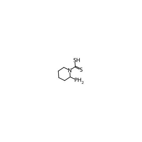 PC1CCCCN1C(=S)S